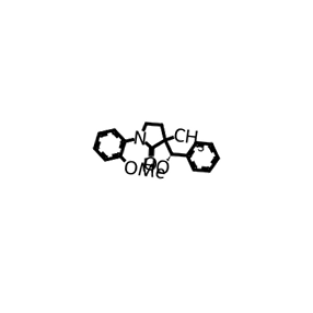 COc1ccccc1N1CCC(C)([C@@H](O)c2ccccc2)C1=O